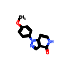 COc1ccc(-n2ncc3c(=O)[nH]ccc32)cc1